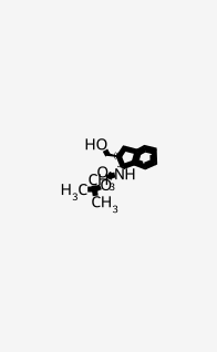 CC(C)(C)OC(=O)N[C]1c2ccccc2C[C@@H]1CO